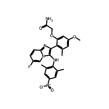 COc1cc(C)c(-c2nc3ccc(F)cn3c2Nc2c(C)cc([N+](=O)[O-])cc2C)c(OCC(N)=O)c1